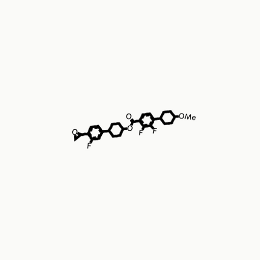 COC1CCC(c2ccc(C(=O)OC3CCC(c4ccc(C5CO5)c(F)c4)CC3)c(F)c2F)CC1